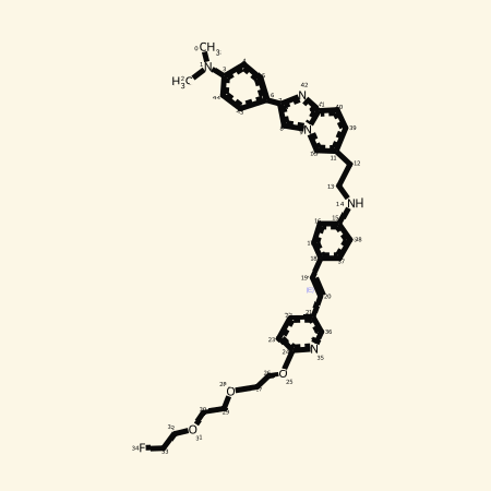 CN(C)c1ccc(-c2cn3cc(CCNc4ccc(/C=C/c5ccc(OCCOCCOCCF)nc5)cc4)ccc3n2)cc1